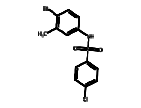 CCc1ccc(NS(=O)(=O)c2ccc(Cl)cc2)cc1C